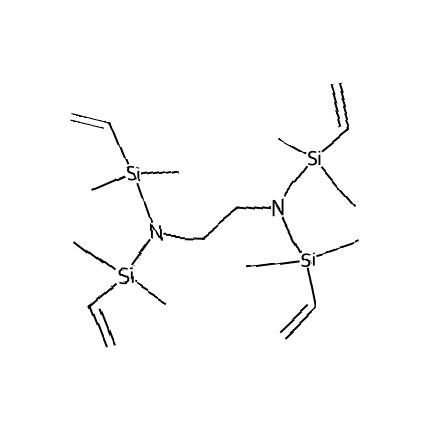 C=C[Si](C)(C)N(CCN([Si](C)(C)C=C)[Si](C)(C)C=C)[Si](C)(C)C=C